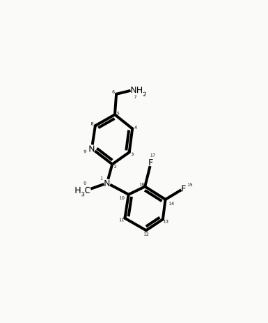 CN(c1ccc(CN)cn1)c1cccc(F)c1F